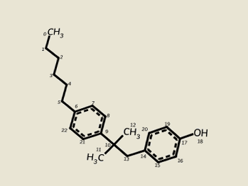 CCCCCCc1ccc(C(C)(C)Cc2ccc(O)cc2)cc1